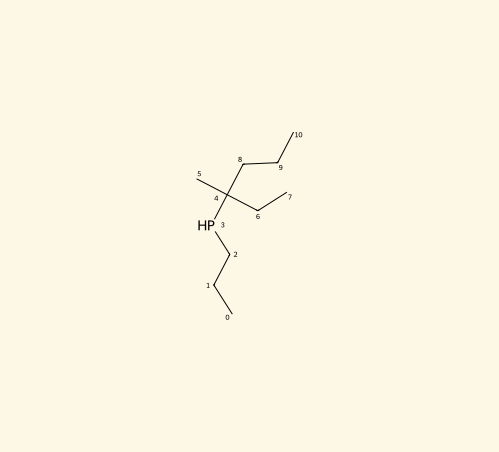 CCCPC(C)(CC)CCC